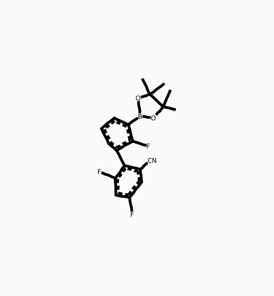 CC1(C)OB(c2cccc(-c3c(F)cc(F)cc3C#N)c2F)OC1(C)C